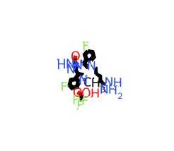 Cn1cc(-c2n[nH]c(=O)n2-c2cn(CCCCC(=N)N)c3ccc(F)cc23)c2cc(F)ccc21.O=C(O)C(F)(F)F